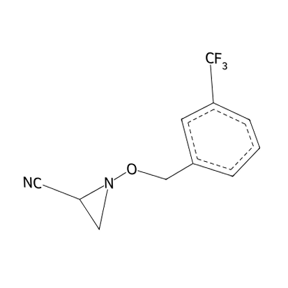 N#CC1CN1OCc1cccc(C(F)(F)F)c1